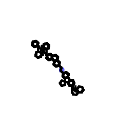 C1=CC2C(C=C1)N(c1ccc3c(ccc4cc(/C=C/c5ccc6c(c5)C5(CCCC5)c5cc(N7CCCC8=C7CCC=C8)ccc5-6)ccc43)c1)c1ccccc1N2c1ccccc1